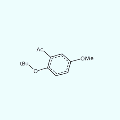 COc1ccc(OC(C)(C)C)c(C(C)=O)c1